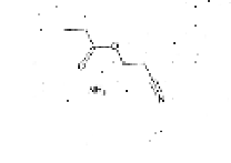 CCC(=O)OCCC#N.N